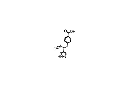 O=C=NC(Cc1ccc(C(=O)O)cc1)c1nn[nH]n1